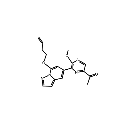 C=CCCOc1cc(-c2nc(C(C)=O)cnc2OC)cc2ccnn12